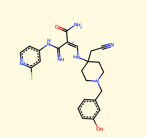 N#CCC1(N/C=C(\C(=N)Nc2ccnc(F)c2)C(N)=O)CCN(Cc2cccc(O)c2)CC1